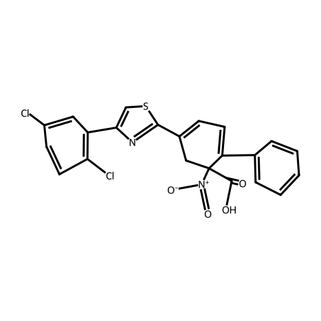 O=C(O)C1([N+](=O)[O-])CC(c2nc(-c3cc(Cl)ccc3Cl)cs2)=CC=C1c1ccccc1